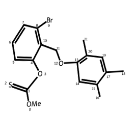 COC(=S)Oc1cccc(Br)c1COc1cc(C)c(C)cc1C